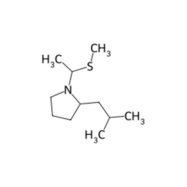 CSC(C)N1CCCC1CC(C)C